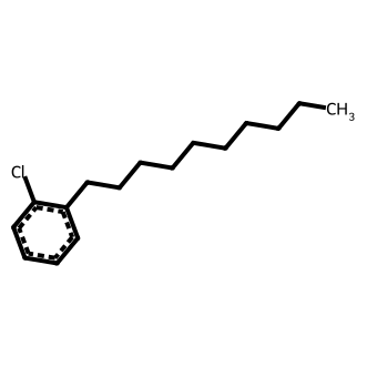 CCCCCCCCCCc1ccccc1Cl